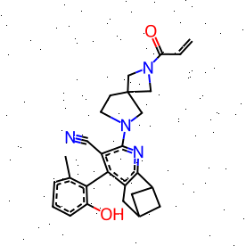 C=CC(=O)N1CC2(CCN(c3nc4c(c(-c5c(C)cccc5O)c3C#N)CC3CC4C3)C2)C1